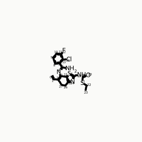 C=CC1=C(/N=C(\N)c2cccc(F)c2Cl)c2sc(NC(=O)SCC)nc2CC1